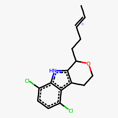 C/C=C/CCC1OCCc2c1[nH]c1c(Cl)ccc(Cl)c21